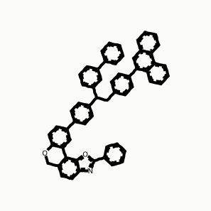 c1ccc(-c2cccc(C(Cc3ccc(-c4cc5ccccc5c5ccccc45)cc3)c3ccc(-c4ccc5c(c4)-c4c(ccc6nc(-c7ccccc7)oc46)CO5)cc3)c2)cc1